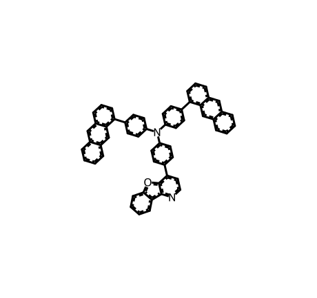 c1ccc2cc3c(-c4ccc(N(c5ccc(-c6cccc7cc8ccccc8cc67)cc5)c5ccc(-c6ccnc7c6oc6ccccc67)cc5)cc4)cccc3cc2c1